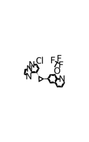 FC(F)(F)COc1cc([C@H]2C[C@@H]2c2cc(Cl)nn3ccnc23)cc2cccnc12